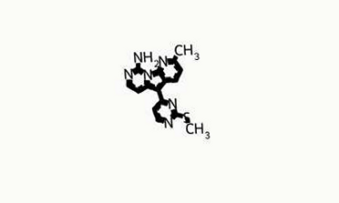 CSc1nccc(-c2c3ccc(C)nc3n3c(N)nccc23)n1